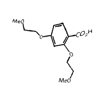 COCCOc1ccc(C(=O)O)c(OCCOC)c1